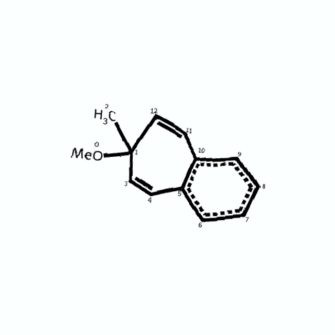 COC1(C)C=Cc2ccccc2C=C1